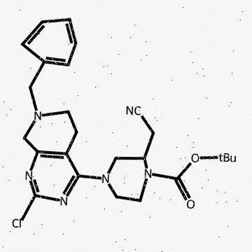 CC(C)(C)OC(=O)N1CCN(c2nc(Cl)nc3c2CCN(Cc2ccccc2)C3)CC1CC#N